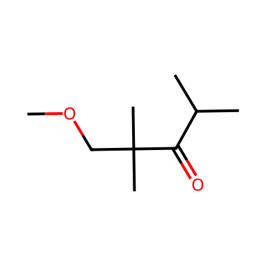 COCC(C)(C)C(=O)C(C)C